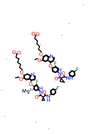 CCOc1cc2c(Oc3ccc(NC(=O)C4(C(=O)Nc5ccc(F)cc5)CC4)cc3F)ccnc2cc1OCCCCCCC(=O)[O-].CCOc1cc2c(Oc3ccc(NC(=O)C4(C(=O)Nc5ccc(F)cc5)CC4)cc3F)ccnc2cc1OCCCCCCC(=O)[O-].[Mg+2]